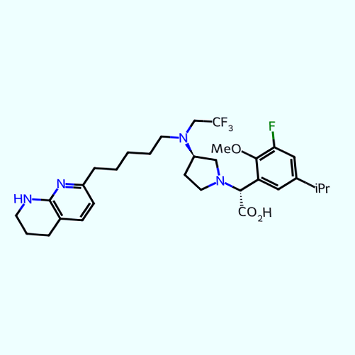 COc1c(F)cc(C(C)C)cc1[C@H](C(=O)O)N1CC[C@@H](N(CCCCCc2ccc3c(n2)NCCC3)CC(F)(F)F)C1